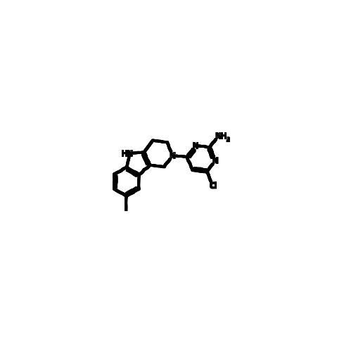 Cc1ccc2[nH]c3c(c2c1)CN(c1cc(Cl)nc(N)n1)CC3